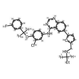 [2H]C([2H])(CC)NCc1ccc(-c2ccc3ncnc(Nc4ccc(OC([2H])([2H])c5cccc(F)c5)c(Cl)c4)c3c2)o1